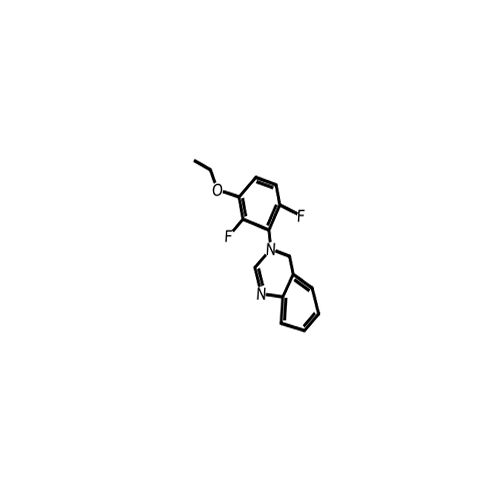 CCOc1ccc(F)c(N2C=Nc3ccccc3C2)c1F